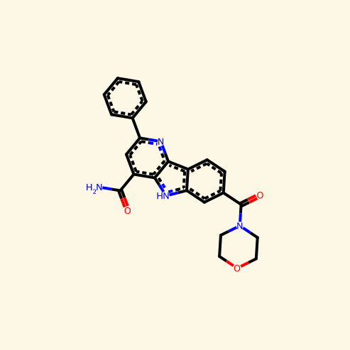 NC(=O)c1cc(-c2ccccc2)nc2c1[nH]c1cc(C(=O)N3CCOCC3)ccc12